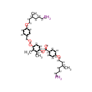 Cc1c(OOCc2ccc(OCCC(C)CCCP)cc2)ccc(OC(=O)c2ccc(OCCC(C)CCCP)cc2)c1C